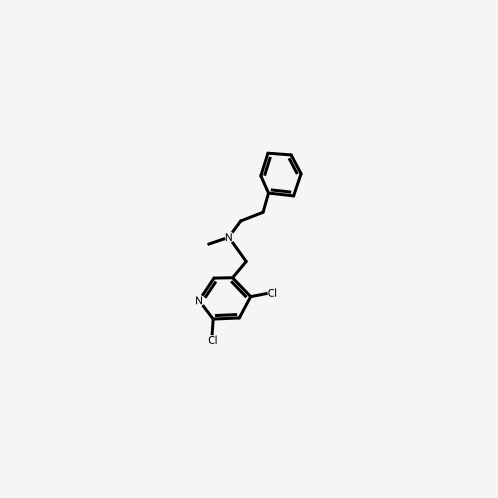 CN(CCc1ccccc1)Cc1cnc(Cl)cc1Cl